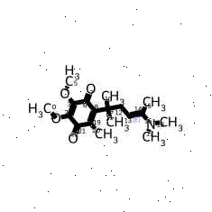 COC1=C(OC)C(=O)C(C(C)(C)C/C=C(\C)N(C)C)=C(C)C1=O